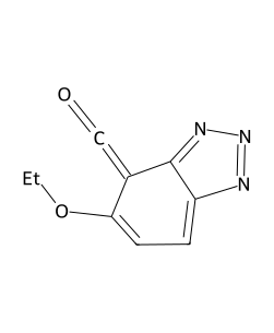 CCOc1ccc2c(c1=C=O)=NN=N2